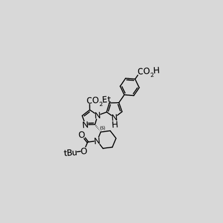 CCOC(=O)c1cnc([C@@H]2CCCCN2C(=O)OC(C)(C)C)n1-c1cc(-c2ccc(C(=O)O)cc2)c[nH]1